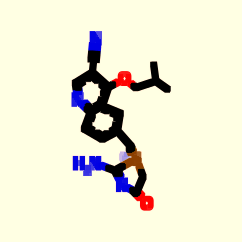 CC(C)COc1c(C#N)cnc2ccc(/C=S3/CC(=O)N=C3N)cc12